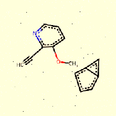 C#Cc1ncccc1OC.c1cc2cc-2c1